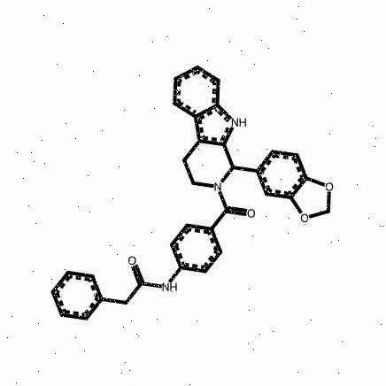 O=C(Cc1ccccc1)Nc1ccc(C(=O)N2CCc3c([nH]c4ccccc34)C2c2ccc3c(c2)OCO3)cc1